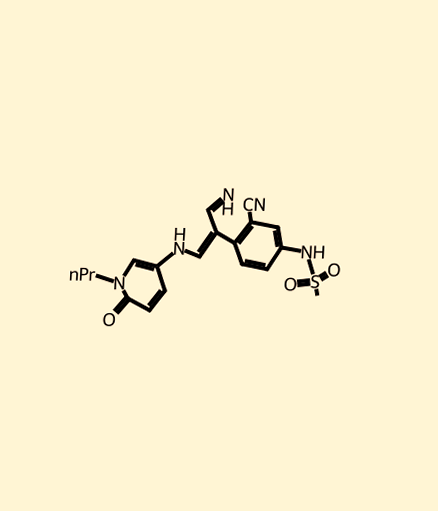 CCCn1cc(N/C=C(\C=N)c2ccc(NS(C)(=O)=O)cc2C#N)ccc1=O